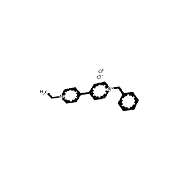 CC[n+]1ccc(-c2cc[n+](Cc3ccccc3)cc2)cc1.[Cl-].[Cl-]